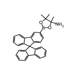 CC1(C)OB(c2ccc3c(c2)-c2ccccc2C32c3ccccc3-c3ccccc32)OC1(C)N